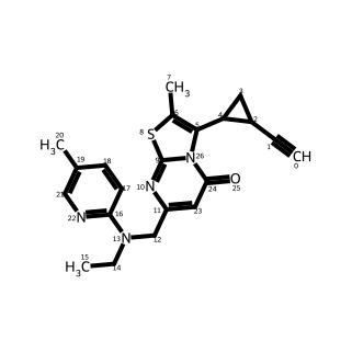 C#CC1CC1c1c(C)sc2nc(CN(CC)c3ccc(C)cn3)cc(=O)n12